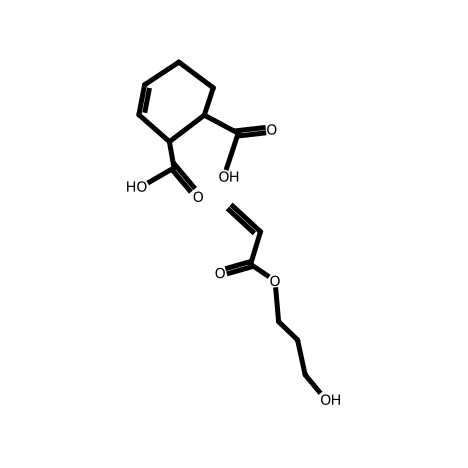 C=CC(=O)OCCCO.O=C(O)C1C=CCCC1C(=O)O